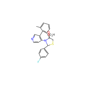 Cc1cccc(C(=O)O)c1-c1cnccc1N1C(=O)CSC1c1ccc(F)cc1